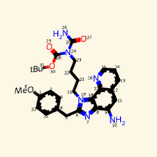 COc1ccc(Cc2nc3c(N)cc4cccnc4c3n2CCCCN(C(N)=O)C(=O)OC(C)(C)C)cc1